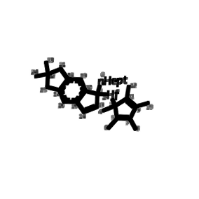 CCCCCCC[C]1([Hf][C]2(C)C(C)=C(C)C(C)=C2C)C=Cc2cc3c(cc21)CC(C)(C)C3